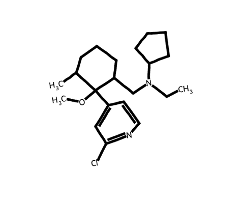 CCN(CC1CCCC(C)C1(OC)c1ccnc(Cl)c1)C1CCCC1